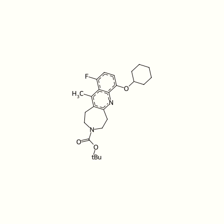 Cc1c2c(nc3c(OC4CCCCC4)ccc(F)c13)CCN(C(=O)OC(C)(C)C)CC2